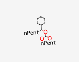 CCCCCOC(=O)OC(CCCCC)c1ccccc1